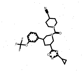 N#CC1CCN(C(=O)N2CC(c3cccc(OC(F)(F)F)c3)CC(c3nc(C4CC4)no3)C2)CC1